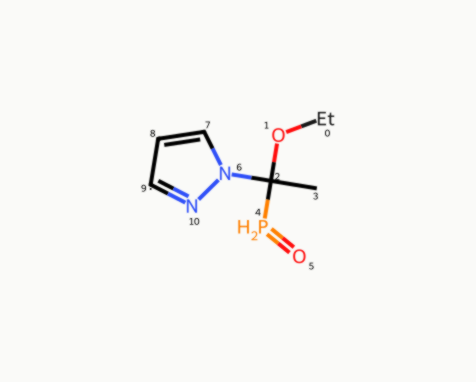 CCOC(C)([PH2]=O)n1cc[c]n1